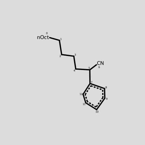 CCCCCCCCCCCCC(C#N)c1ccccc1